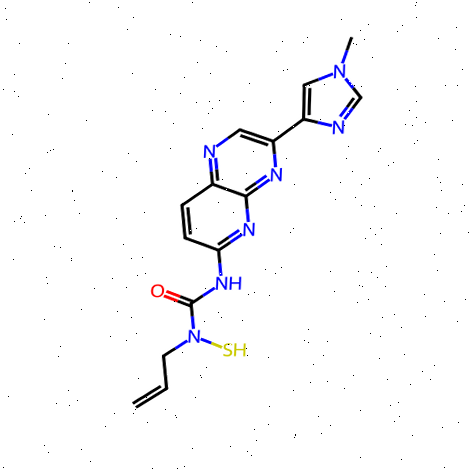 C=CCN(S)C(=O)Nc1ccc2ncc(-c3cn(C)cn3)nc2n1